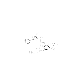 COc1c(Br)cc(CC(OC(C)C)C(=O)O)cc1CNC(=O)c1sc(-c2ccccc2)nc1C